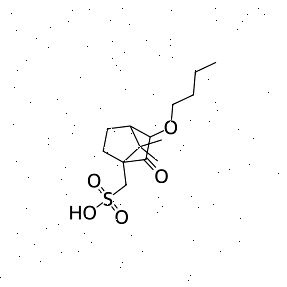 CCCCOC1C(=O)C2(CS(=O)(=O)O)CCC1C2(C)C